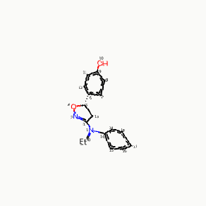 CCN(C1=NO[C@H](c2ccc(O)cc2)C1)c1ccccc1